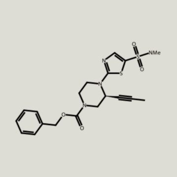 CC#C[C@H]1CN(C(=O)OCc2ccccc2)CCN1c1ncc(S(=O)(=O)NC)s1